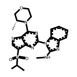 CNc1nc2ccccc2n1-c1nc(N2CCOC[C@H]2C)c2scc(S(=O)(=O)C(C)C)c2n1